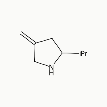 C=C1CNC(C(C)C)C1